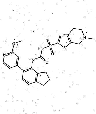 COc1cc(-c2ccc3c(c2NC(=O)NS(=O)(=O)c2cc4c(s2)CN(C)CC4)CCC3)ccn1